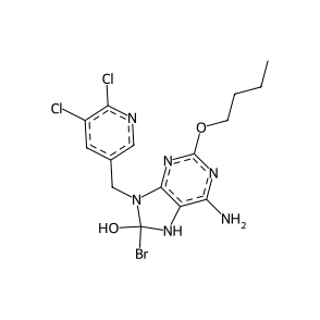 CCCCOc1nc(N)c2c(n1)N(Cc1cnc(Cl)c(Cl)c1)C(O)(Br)N2